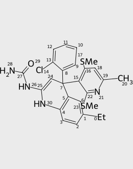 CCc1ccc2c(c1)C(c1ccccc1Cl)(c1c(SC)cc(C)nc1SC)C=C(NC(N)=O)N2